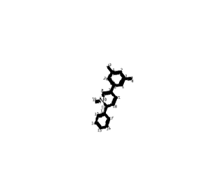 Cc1cc(C)cc(C2=CN(C)C(c3ccccc3)C=C2)c1